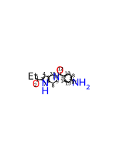 CCC(=O)c1cc2c([nH]1)CCN(C(=O)c1ccc(N)cc1)C2